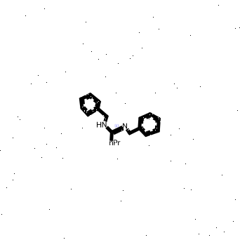 CCC/C(=N\Cc1ccccc1)NCc1ccccc1